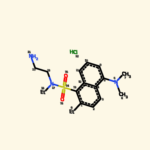 CCc1ccc2c(N(C)C)cccc2c1S(=O)(=O)N(CC)CCN.Cl